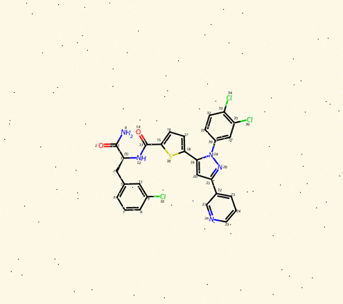 NC(=O)[C@H](Cc1cccc(Cl)c1)NC(=O)c1ccc(-c2cc(-c3cccnc3)nn2-c2ccc(Cl)c(Cl)c2)s1